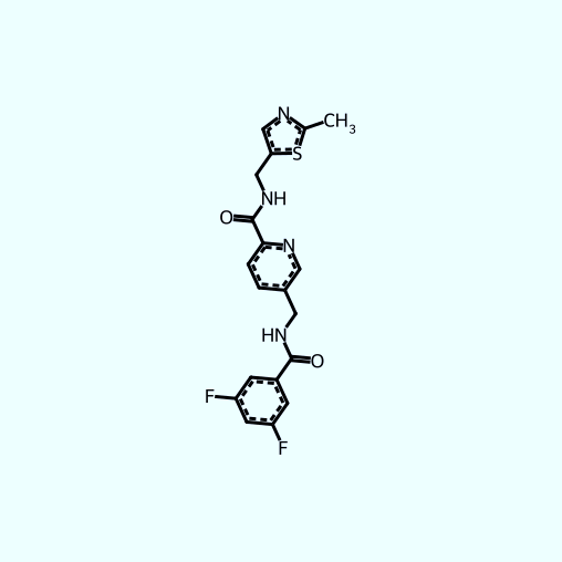 Cc1ncc(CNC(=O)c2ccc(CNC(=O)c3cc(F)cc(F)c3)cn2)s1